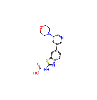 O=C(O)Nc1nc2ccc(-c3cncc(N4CCOCC4)c3)cc2s1